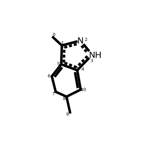 Cc1n[nH]c2c1=CCC(C)C=2